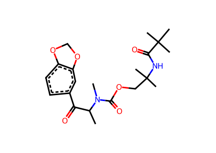 CC(C(=O)c1ccc2c(c1)OCO2)N(C)C(=O)OCC(C)(C)NC(=O)C(C)(C)C